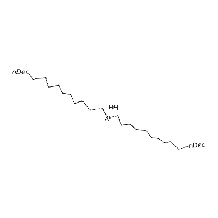 CCCCCCCCCCCCCCCCCCC[CH2][Al][CH2]CCCCCCCCCCCCCCCCCCC.[HH]